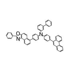 c1ccc(-c2cccc(N(c3ccc(-c4cc5ccccc5c5ccccc45)cc3)c3ccc(-c4cccc5c4ccc4oc(-c6ccccc6)nc45)cc3)c2)cc1